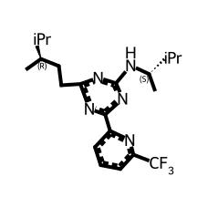 CC(C)[C@H](C)CCc1nc(N[C@@H](C)C(C)C)nc(-c2cccc(C(F)(F)F)n2)n1